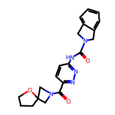 O=C(Nc1ccc(C(=O)N2CC3(CCCO3)C2)nn1)N1Cc2ccccc2C1